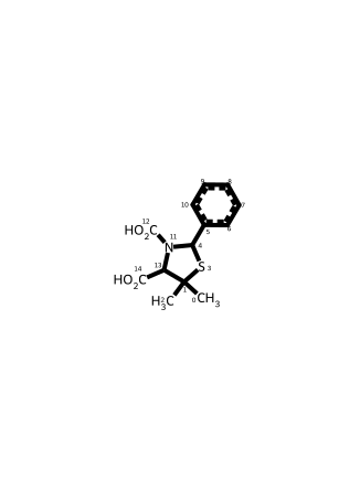 CC1(C)SC(c2ccccc2)N(C(=O)O)C1C(=O)O